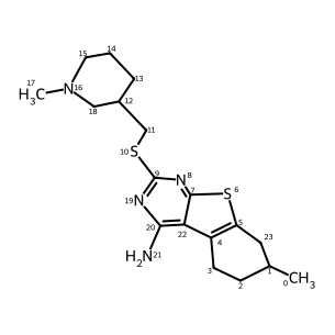 CC1CCc2c(sc3nc(SCC4CCCN(C)C4)nc(N)c23)C1